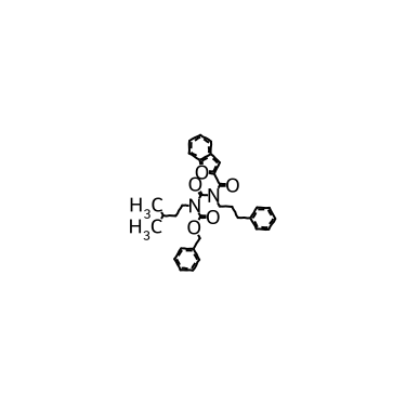 CC(C)CCN(C(=O)OCc1ccccc1)C(=O)N(CCCc1ccccc1)C(=O)c1cc2ccccc2o1